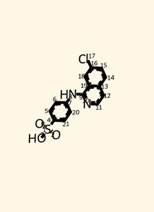 O=S(=O)(O)c1ccc(Nc2nccc3ccc(Cl)cc23)cc1